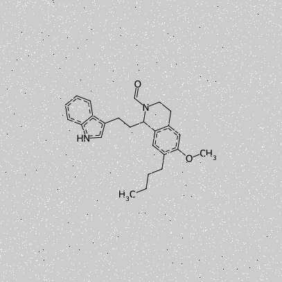 CCCCc1cc2c(cc1OC)CCN(C=O)C2CCc1c[nH]c2ccccc12